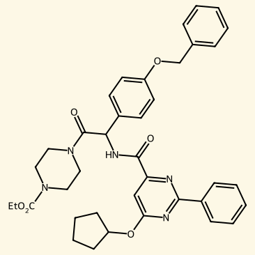 CCOC(=O)N1CCN(C(=O)C(NC(=O)c2cc(OC3CCCC3)nc(-c3ccccc3)n2)c2ccc(OCc3ccccc3)cc2)CC1